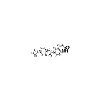 O=C(CN1CCN(C2CCC2)CC1)N1CCc2[nH]c(=O)ccc2C1